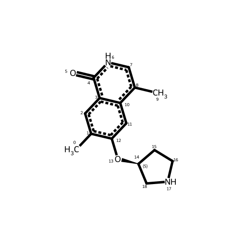 Cc1cc2c(=O)[nH]cc(C)c2cc1O[C@H]1CCNC1